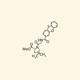 COC(=O)[C@@H]1C[Si](C)(C)CN1C(=O)CNC(=O)c1ccc2c(c1)Oc1ccccc1S2